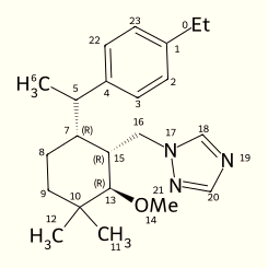 CCc1ccc(C(C)[C@H]2CCC(C)(C)[C@H](OC)[C@H]2Cn2cncn2)cc1